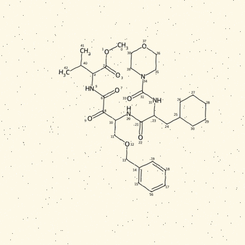 COC(=O)C(NC(=O)C(=O)C(COCc1ccccc1)NC(=O)C(CC1CCCCC1)NC(=O)N1CCOCC1)C(C)C